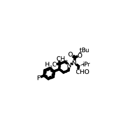 CC(C)[C@H](C=O)N(C(=O)OC(C)(C)C)N1CCC(c2ccc(F)cc2)C(C)(C)C1